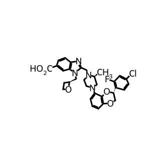 C[C@H]1CN(c2cccc3c2O[C@H](c2ccc(Cl)cc2F)CO3)CCN1Cc1nc2ccc(C(=O)O)cc2n1C[C@@H]1CCO1